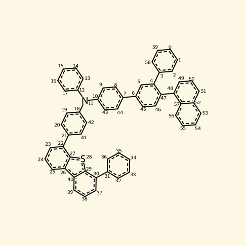 c1ccc(-c2cc(-c3ccc(N(c4ccccc4)c4ccc(-c5cccc6c5sc5c(-c7ccccc7)cccc56)cc4)cc3)ccc2-c2cccc3ccccc23)cc1